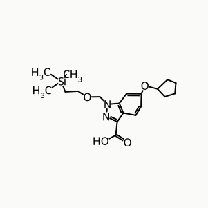 C[Si](C)(C)CCOCn1nc(C(=O)O)c2ccc(OC3CCCC3)cc21